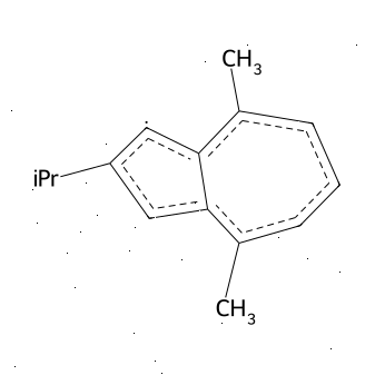 Cc1cccc(C)c2cc(C(C)C)[c]c1-2